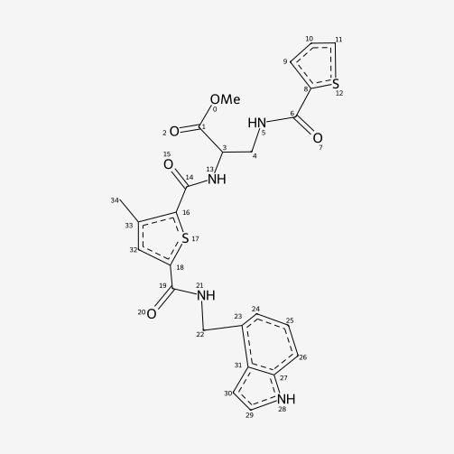 COC(=O)C(CNC(=O)c1cccs1)NC(=O)c1sc(C(=O)NCc2cccc3[nH]ccc23)cc1C